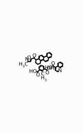 Cc1c(C(=O)O)cccc1C(=O)O.Cc1cc(C(=O)C2CCCc3c2ccc2c3ccc3ccccc32)on1.O=C(O)c1ccnc2ccccc12